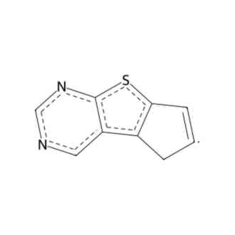 [C]1=Cc2sc3ncncc3c2C1